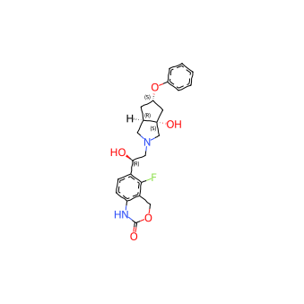 O=C1Nc2ccc([C@@H](O)CN3C[C@H]4C[C@H](Oc5ccccc5)C[C@@]4(O)C3)c(F)c2CO1